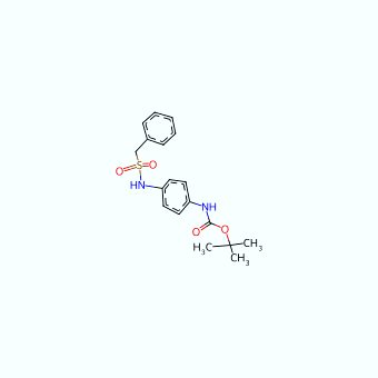 CC(C)(C)OC(=O)Nc1ccc(NS(=O)(=O)Cc2ccccc2)cc1